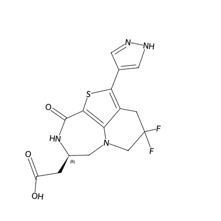 O=C(O)C[C@@H]1CN2CC(F)(F)Cc3c(-c4cn[nH]c4)sc(c32)C(=O)N1